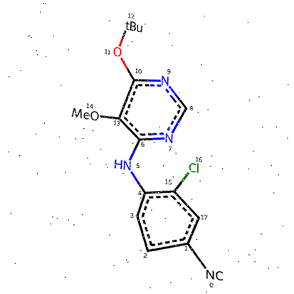 [C-]#[N+]c1ccc(Nc2ncnc(OC(C)(C)C)c2OC)c(Cl)c1